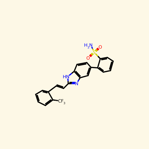 NS(=O)(=O)c1ccccc1-c1ccc2[nH]c(C=Cc3ccccc3C(F)(F)F)nc2c1